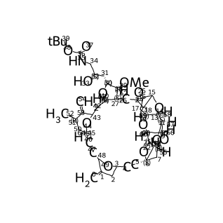 C=C1CC2CC[C@@]34C[C@H]5O[C@H]6[C@@H](O3)[C@H]3OC(CC[C@@H]3O[C@H]6[C@H]5O4)CC(=O)C[C@@H]3[C@@H](OC)[C@@H](C[C@H](O)CNC(=O)OC(C)(C)C)O[C@H]3CC3O[C@@H](CCC1O2)C[C@@H](C)C3=C